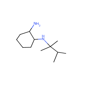 CC(C)C(C)(C)NC1CCCCC1N